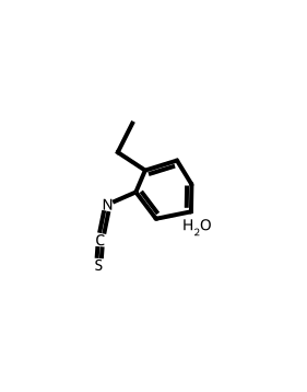 CCc1ccccc1N=C=S.O